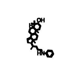 C[C@H](CCCNc1ccccc1)[C@H]1CC=C2C3=C(CC[C@@]21C)[C@@]1(C)CC[C@H](O)C(C)(C)[C@@H]1CC3